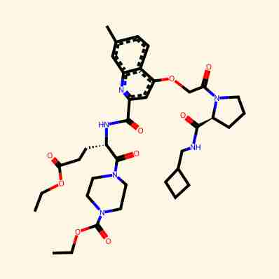 CCOC(=O)CC[C@H](NC(=O)c1cc(OCC(=O)N2CCC[C@H]2C(=O)NCC2CCC2)c2ccc(C)cc2n1)C(=O)N1CCN(C(=O)OCC)CC1